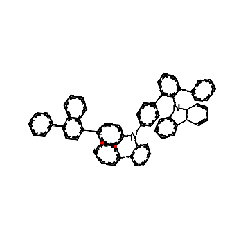 C1=CC2c3ccccc3N(c3c(-c4ccccc4)cccc3-c3ccc(N(c4ccc(-c5ccc(-c6ccccc6)c6ccccc56)cc4)c4ccccc4-c4ccccc4)cc3)C2C=C1